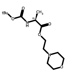 C[C@H](NC(=O)OC(C)(C)C)C(=O)OCCN1CCOCC1